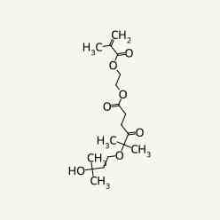 C=C(C)C(=O)OCCOC(=O)CCC(=O)C(C)(C)OCCC(C)(C)O